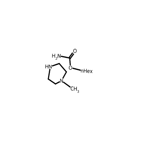 CCCCCCOC(N)=O.CN1CCNCC1